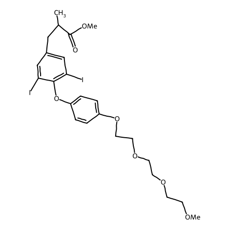 COCCOCCOCCOc1ccc(Oc2c(I)cc(CC(C)C(=O)OC)cc2I)cc1